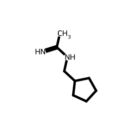 CC(=N)NCC1CCCC1